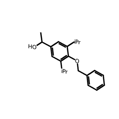 CC(C)c1cc(C(C)O)cc(C(C)C)c1OCc1ccccc1